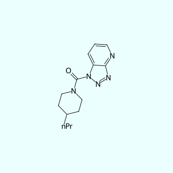 CCCC1CCN(C(=O)n2nnc3ncccc32)CC1